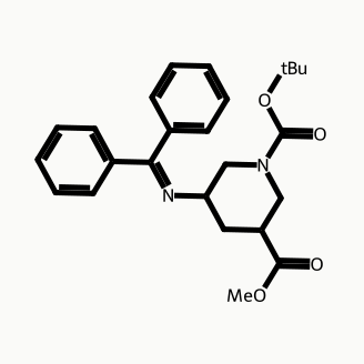 COC(=O)C1CC(N=C(c2ccccc2)c2ccccc2)CN(C(=O)OC(C)(C)C)C1